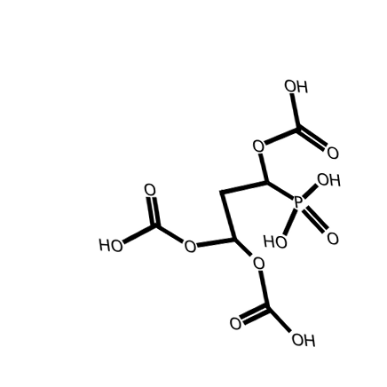 O=C(O)OC(CC(OC(=O)O)P(=O)(O)O)OC(=O)O